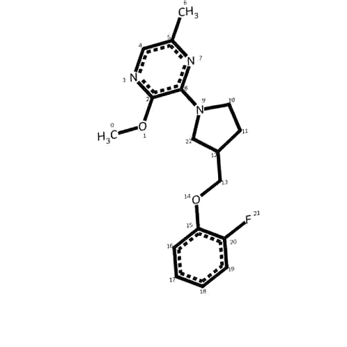 COc1ncc(C)nc1N1CCC(COc2ccccc2F)C1